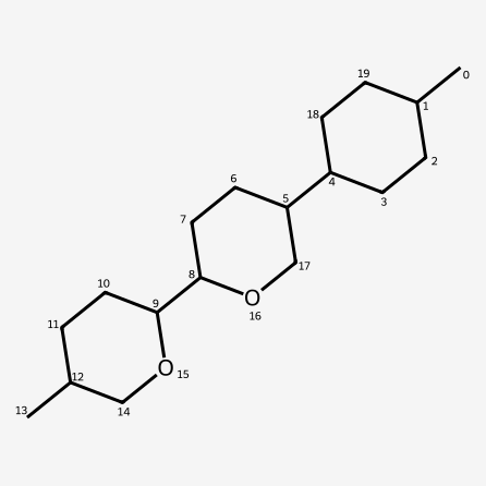 CC1CCC(C2CCC(C3CCC(C)CO3)OC2)CC1